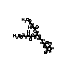 COCCNC(=O)OCC(COC(=O)NCCOC)OCCCC(=O)ON1C(=O)CCC1=O